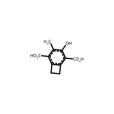 Cc1c(O)c(C(=O)O)c2c(c1C(=O)O)CC2